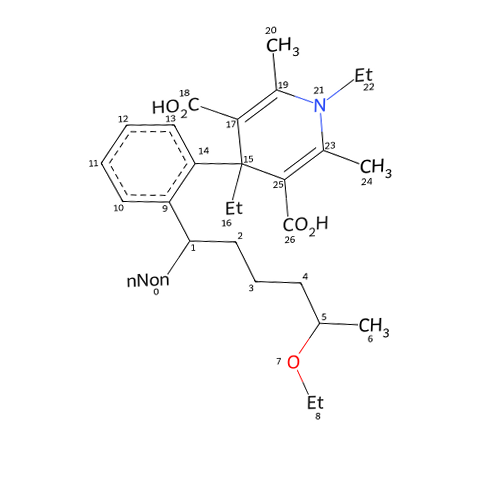 CCCCCCCCCC(CCCC(C)OCC)c1ccccc1C1(CC)C(C(=O)O)=C(C)N(CC)C(C)=C1C(=O)O